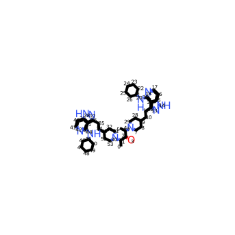 CC(C(=O)C(C)N1CCC(CCc2n[nH]c3ccnc(NC4CCCCC4)c23)CC1)N1CCC(CCc2n[nH]c3ccnc(NC4CCCCC4)c23)CC1